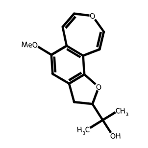 COc1cc2c(c3c1C=COC=C3)OC(C(C)(C)O)C2